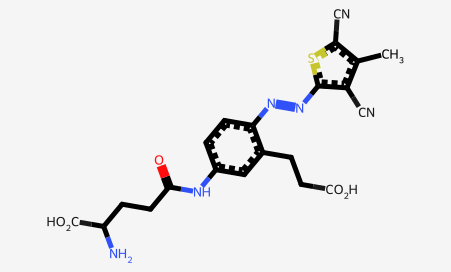 Cc1c(C#N)sc(N=Nc2ccc(NC(=O)CCC(N)C(=O)O)cc2CCC(=O)O)c1C#N